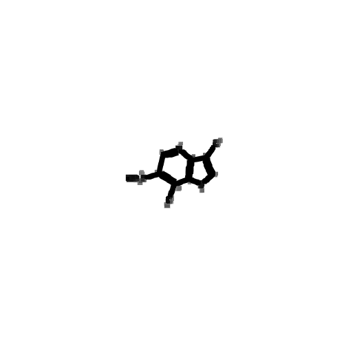 O=C(O)c1cnc2c(Cl)csc2c1Cl